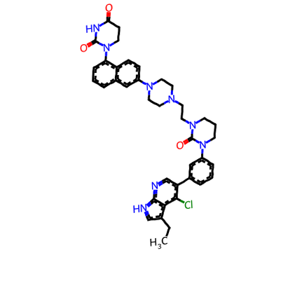 CCc1c[nH]c2ncc(-c3cccc(N4CCCN(CCN5CCN(c6ccc7c(N8CCC(=O)NC8=O)cccc7c6)CC5)C4=O)c3)c(Cl)c12